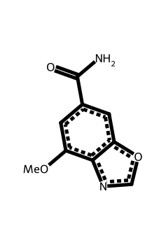 COc1cc(C(N)=O)cc2ocnc12